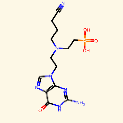 N#CCCCN(CCn1cnc2c(=O)[nH]c(N)nc21)CCP(=O)(O)O